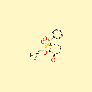 C=CC[S+]([O-])C1(C(=O)c2ccccc2)CCCC(=O)C1=O